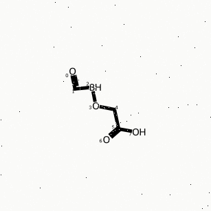 O=CBOCC(=O)O